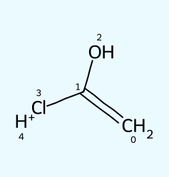 C=C(O)Cl.[H+]